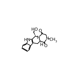 CN1CC(=O)N2[C@H](Cc3c([nH]c4ccccc34)[C@H]2CO)C1=O